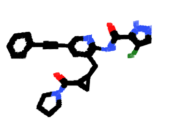 O=C(Nc1ncc(C#Cc2ccccc2)cc1CC1CC1C(=O)N1CCCC1)c1[nH]ncc1Cl